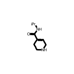 CC(C)NC(=O)C1=CCNCC1